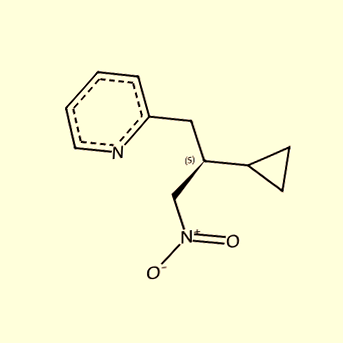 O=[N+]([O-])C[C@@H](Cc1ccccn1)C1CC1